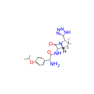 CC(C)Oc1ccc(C(N)C(=O)NC2C(=O)N3C(c4nnn[nH]4)C(C)(C)S[C@H]23)cc1